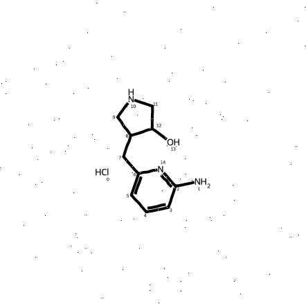 Cl.Nc1cccc(CC2CNCC2O)n1